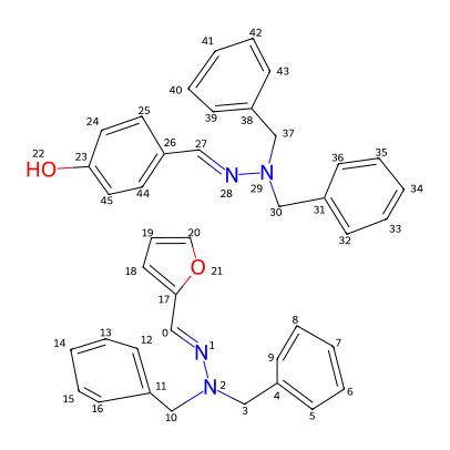 C(=NN(Cc1ccccc1)Cc1ccccc1)c1ccco1.Oc1ccc(C=NN(Cc2ccccc2)Cc2ccccc2)cc1